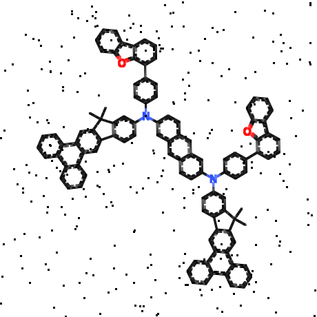 CC1(C)c2cc(N(c3ccc(-c4cccc5c4oc4ccccc45)cc3)c3ccc4cc5cc(N(c6ccc(-c7cccc8c7oc7ccccc78)cc6)c6ccc7c(c6)C(C)(C)c6cc8c9ccccc9c9ccccc9c8cc6-7)ccc5cc4c3)ccc2-c2cc3c4ccccc4c4ccccc4c3cc21